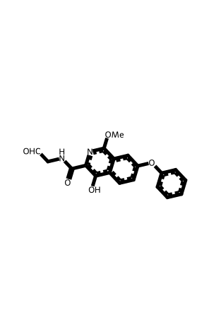 COc1nc(C(=O)NCC=O)c(O)c2ccc(Oc3ccccc3)cc12